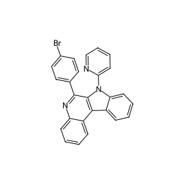 Brc1ccc(-c2nc3ccccc3c3c4ccccc4n(-c4ccccn4)c23)cc1